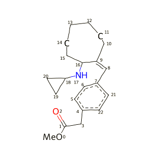 COC(=O)Cc1ccc(C=C2CCCCCCC2NC2CC2)cc1